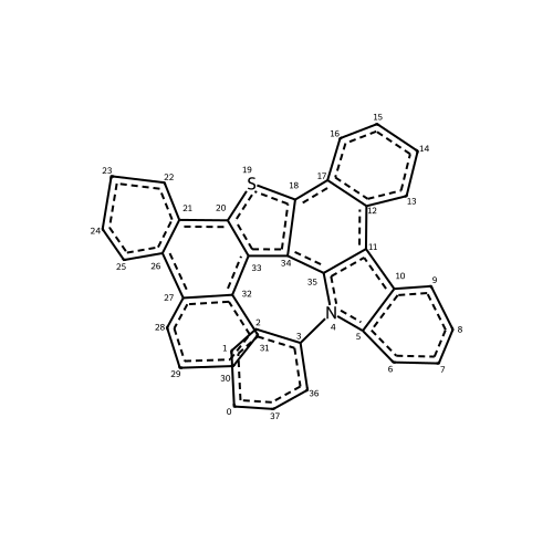 c1ccc(-n2c3ccccc3c3c4ccccc4c4sc5c6ccccc6c6ccccc6c5c4c32)cc1